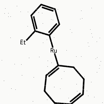 CCc1cccc[c]1[Ru][C]1=CCCC=CCC1